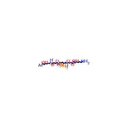 CC(=O)N(O)CCCCCNC(=O)CCC(=O)N(O)CCCCCNC(=O)CCC(=O)N(O)CCCCCN.P.P